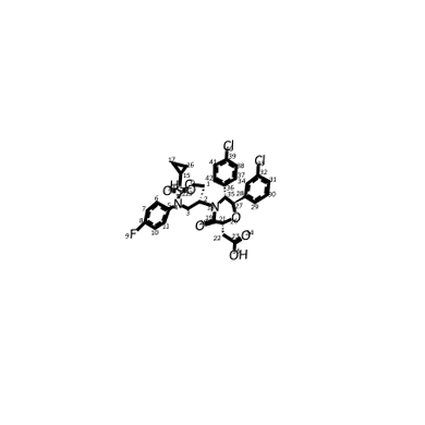 CC[C@@H](CN(c1ccc(F)cc1)S(=O)(=O)C1CC1)N1C(=O)[C@@H](CC(=O)O)O[C@H](c2cccc(Cl)c2)[C@H]1c1ccc(Cl)cc1